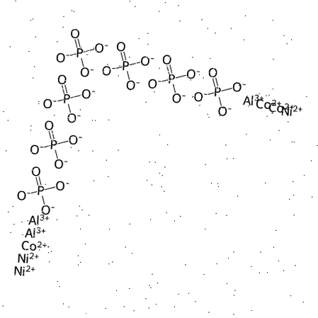 O=P([O-])([O-])[O-].O=P([O-])([O-])[O-].O=P([O-])([O-])[O-].O=P([O-])([O-])[O-].O=P([O-])([O-])[O-].O=P([O-])([O-])[O-].O=P([O-])([O-])[O-].[Al+3].[Al+3].[Al+3].[Co+2].[Co+2].[Co+2].[Ni+2].[Ni+2].[Ni+2]